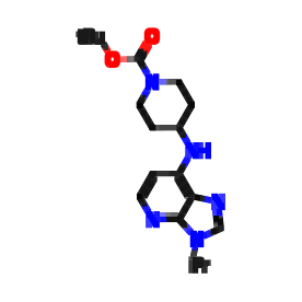 CC(C)n1cnc2c(NC3CCN(C(=O)OC(C)(C)C)CC3)ccnc21